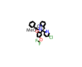 CO[C@](C(=O)N[C@@](Cc1ccccc1)(c1cccc(OC(F)F)c1)c1ccc(Cl)cn1)(c1ccccc1)C(F)(F)F